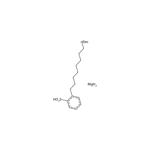 CCCCCCCCCCCCCCCCCCc1ccccc1S(=O)(=O)O.[MgH2]